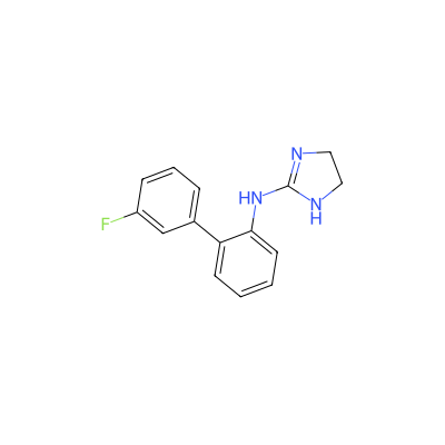 Fc1cccc(-c2ccccc2NC2=NCCN2)c1